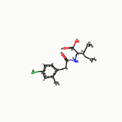 Cc1cc(Cl)ccc1CC(=O)NC(C(=O)O)C(C)C